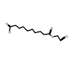 C=CCOC(=O)CCCCCCCCC(=O)Cl